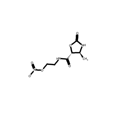 C[C@@H]1NC(=O)O[C@H]1C(=O)NCCO[N+](=O)[O-]